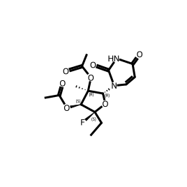 CC[C@@]1(F)O[C@@H](n2ccc(=O)[nH]c2=O)[C@](C)(OC(C)=O)[C@@H]1OC(C)=O